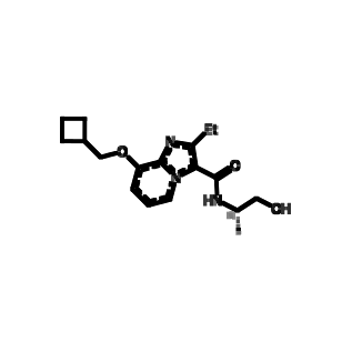 CCc1nc2c(OCC3CCC3)cccn2c1C(=O)N[C@@H](C)CO